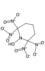 O=[N+]([O-])C1([N+](=O)[O-])CCCC([N+](=O)[O-])([N+](=O)[O-])N1O